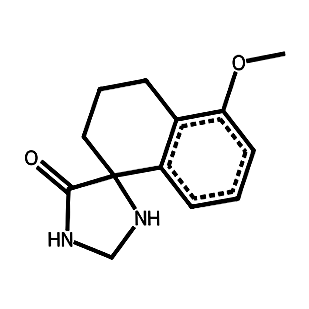 COc1cccc2c1CCCC21NCNC1=O